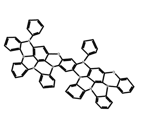 c1ccc(N2c3ccccc3B3c4ccccc4N4c5ccccc5B5c6cc7c(cc6Oc6cc2c3c4c65)N(c2ccccc2)c2cc3c4c5c2B7c2ccccc2N5c2ccccc2B4c2ccccc2O3)cc1